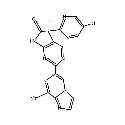 CCCc1nc(-c2ncc3c(n2)NC(=O)[C@@]3(C)c2ccc(Cl)cn2)cn2ccnc12